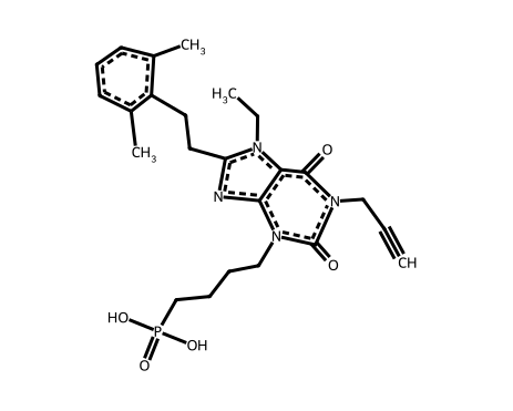 C#CCn1c(=O)c2c(nc(CCc3c(C)cccc3C)n2CC)n(CCCCP(=O)(O)O)c1=O